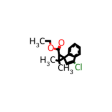 CCOC(=O)C1C(C)(C)C12C=C(Cl)c1ccccc12